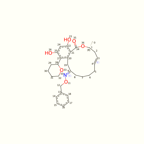 C[C@@H]1C/C=C/CCCC/C(=N\OCc2ccccc2)Cc2c(c(O)cc(O)c2C2CCCCO2)C(=O)O1